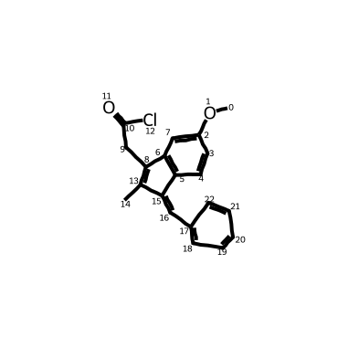 COc1ccc2c(c1)C(CC(=O)Cl)=C(C)/C2=C/c1ccccc1